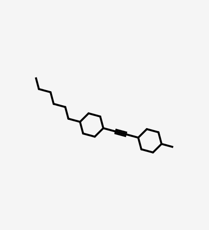 CCCCCCC1CCC(C#CC2CCC(C)CC2)CC1